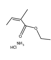 CC=C(C)C(=O)OCC.Cl.N